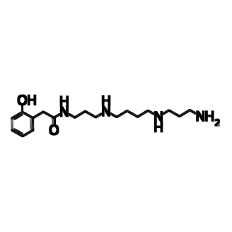 NCCCNCCCCNCCCNC(=O)Cc1ccccc1O